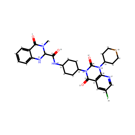 CN1C(=O)c2ccccc2NC1C(=O)NC1CCC(n2c(=O)c3cc(F)cnc3n(C3CCSCC3)c2=O)CC1